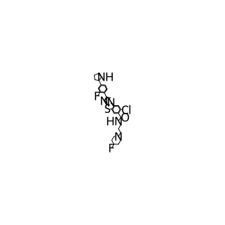 O=C(NCCCN1CCC(F)CC1)c1cc2sc3nc(-c4ccc(C5CCCN5)cc4F)cn3c2cc1Cl